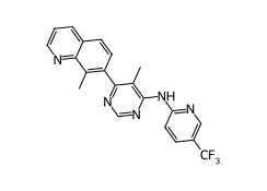 Cc1c(Nc2ccc(C(F)(F)F)cn2)ncnc1-c1ccc2cccnc2c1C